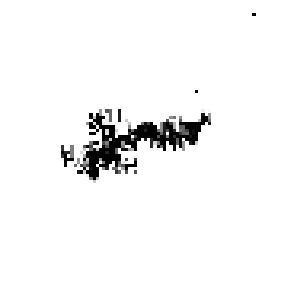 CNc1cc(-c2ccc3cc(C#N)cnn23)ncc1-c1nnc(N2CCCC3(CN(C(=O)C[C@H](NC(=O)[C@@H]4C[C@@H](O)CN4C(=O)[C@@H](NC(=O)C4(F)CC4)C(C)(C)C)c4ccc(-c5scnc5C)cc4)C3)C2)s1